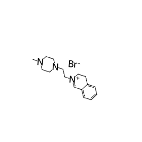 CN1CCN(CC[N+]2=Cc3ccccc3CC2)CC1.[Br-]